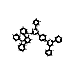 c1ccc(-c2cc(-c3ccccc3)nc(-c3ccc(-c4nc(-c5ccccc5)nc(-n5c6ccccc6c6c5ccc5c7ccccc7n(-c7ccccc7)c56)n4)cc3)c2)cc1